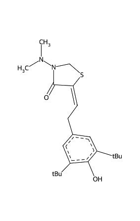 CN(C)N1CS/C(=C/Cc2cc(C(C)(C)C)c(O)c(C(C)(C)C)c2)C1=O